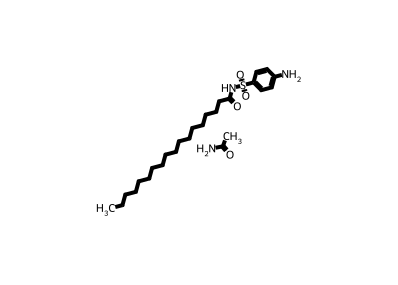 CC(N)=O.CCCCCCCCCCCCCCCCCC(=O)NS(=O)(=O)c1ccc(N)cc1